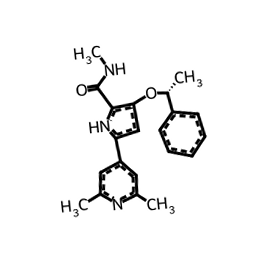 CNC(=O)c1[nH]c(-c2cc(C)nc(C)c2)cc1O[C@H](C)c1ccccc1